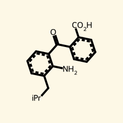 CC(C)Cc1cccc(C(=O)c2ccccc2C(=O)O)c1N